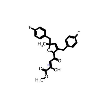 COC(=O)/C(O)=C/C(=O)C1OC(C)(Cc2ccc(F)cc2)C=C1Cc1ccc(F)cc1